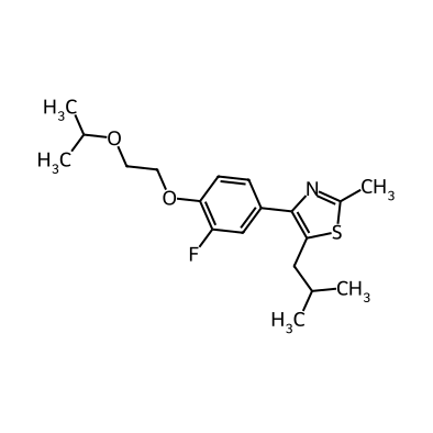 Cc1nc(-c2ccc(OCCOC(C)C)c(F)c2)c(CC(C)C)s1